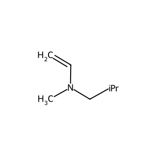 C=CN(C)CC(C)C